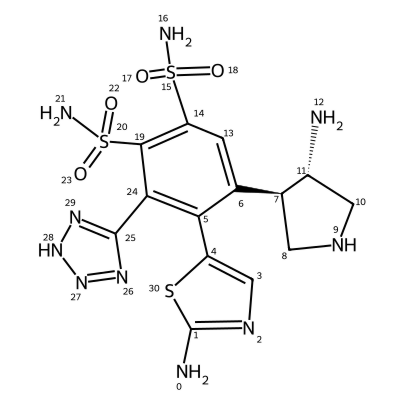 Nc1ncc(-c2c([C@@H]3CNC[C@H]3N)cc(S(N)(=O)=O)c(S(N)(=O)=O)c2-c2nn[nH]n2)s1